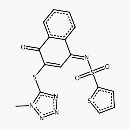 Cn1nnnc1SC1=CC(=NS(=O)(=O)c2cccs2)c2ccccc2C1=O